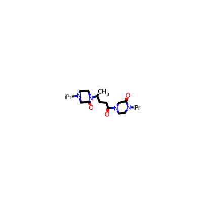 CC(C)N1CCN(C(C)CCC(=O)N2CCN(C(C)C)C(=O)C2)C(=O)C1